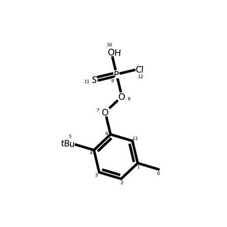 Cc1ccc(C(C)(C)C)c(OOP(O)(=S)Cl)c1